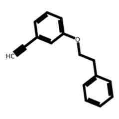 C#Cc1cccc(OCCc2ccccc2)c1